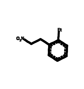 CCc1ccccc1CC[N+](=O)[O-]